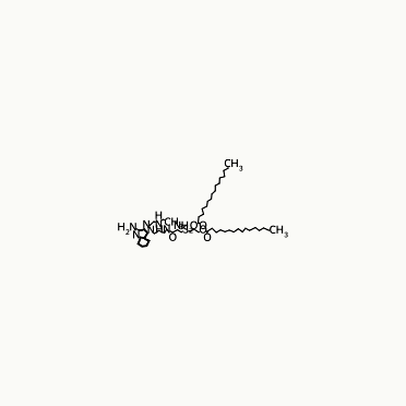 CCCCCCCCCCCCCCCC(=O)OCC(CSC[C@H](N)C(=O)NCCCn1c(CNCC)nc2c(N)nc3ccccc3c21)OC(=O)CCCCCCCCCCCCCCC